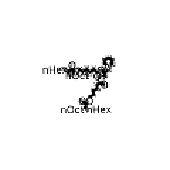 CCCCCCCCC(CCCCCC)C(=O)OCCCCCC(=O)OCC(CN1CCCCC1)OC(=O)CCCCCOC(=O)[C@@H](CCCCCC)CCCCCCCC